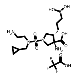 NCCN(CC1CC1)S(=O)(=O)N1C[C@H](CCCB(O)O)[C@](N)(C(=O)O)C1.O=C(O)C(F)(F)F